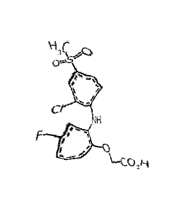 CS(=O)(=O)c1ccc(Nc2cc(F)ccc2OCC(=O)O)c(Cl)c1